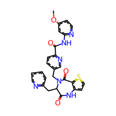 COc1ccnc(NC(=O)c2ccc(CN3C(=O)c4sccc4NC(=O)C3Cc3ccccn3)cn2)c1